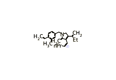 C=Cc1ccc(CN2CC(C(=C)CC)=C(/C=C\CCC)C2=C)cc1C